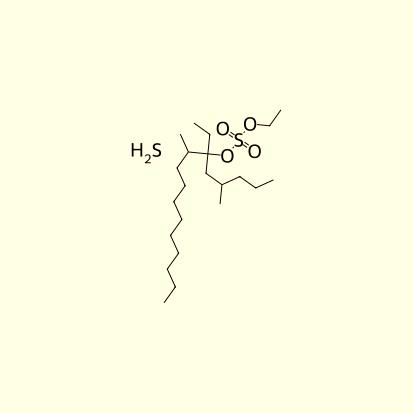 CCCCCCCCCC(C)C(CC)(CC(C)CCC)OS(=O)(=O)OCC.S